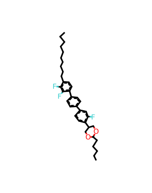 CCCCCCCCCCc1ccc(-c2ccc(-c3ccc(C4COC(CCCCC)OC4)c(F)c3)cc2)c(F)c1F